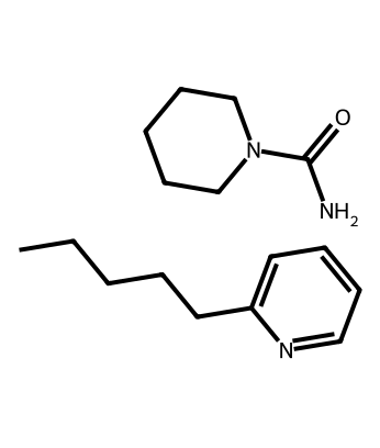 CCCCCc1ccccn1.NC(=O)N1CCCCC1